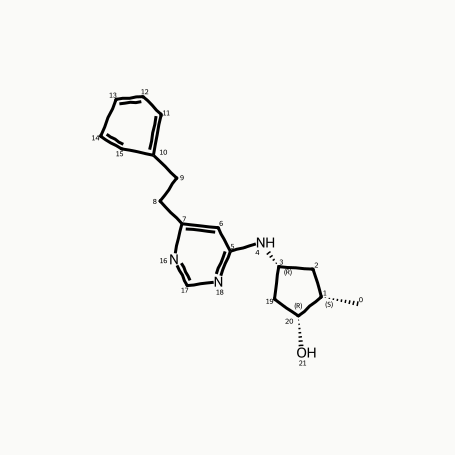 C[C@H]1C[C@@H](Nc2cc(CCc3ccccc3)ncn2)C[C@H]1O